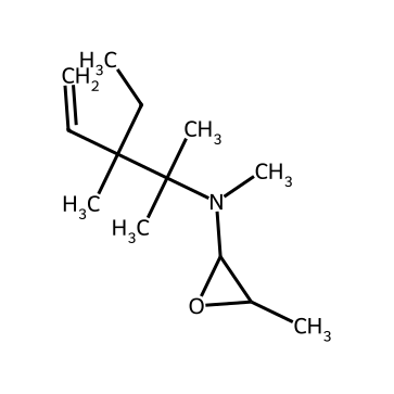 C=CC(C)(CC)C(C)(C)N(C)C1OC1C